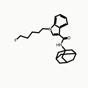 O=C(NC12CC3CC(CC(C3)C1)C2)c1cn(CCCCCF)c2ccccc12